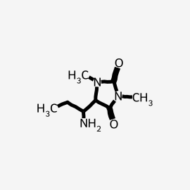 CCC(N)C1C(=O)N(C)C(=O)N1C